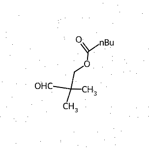 CCCCC(=O)OCC(C)(C)C=O